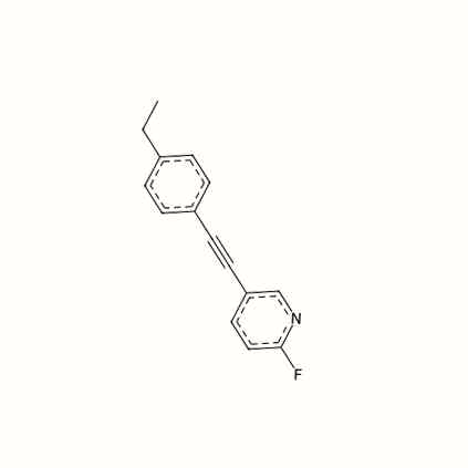 CCc1ccc(C#Cc2ccc(F)nc2)cc1